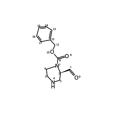 O=C[C@H]1CNCCN1C(=O)OCc1ccccc1